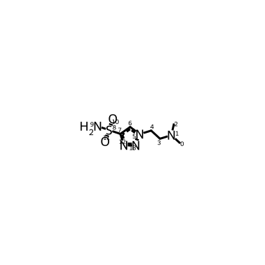 CN(C)CCn1cc(S(N)(=O)=O)nn1